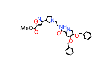 COC(=O)c1cc(C2CCN(CCNC(=O)c3cc(OCc4ccccc4)c(OCc4ccccc4)cn3)C2)no1